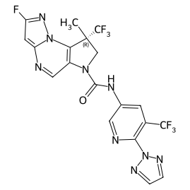 C[C@@]1(C(F)(F)F)CN(C(=O)Nc2cnc(-n3nccn3)c(C(F)(F)F)c2)c2cnc3cc(F)nn3c21